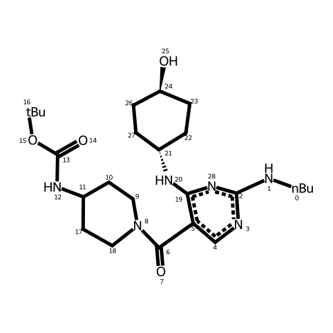 CCCCNc1ncc(C(=O)N2CCC(NC(=O)OC(C)(C)C)CC2)c(N[C@H]2CC[C@H](O)CC2)n1